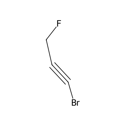 FCC#CBr